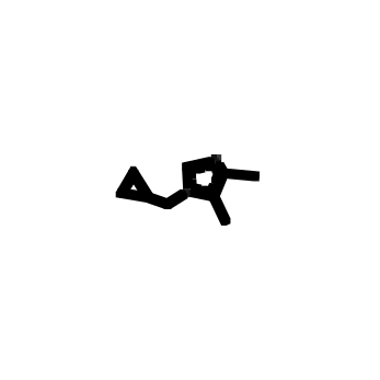 Cc1ncn(CC2CC2)c1C